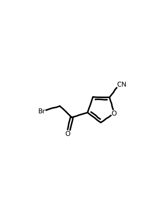 N#Cc1cc(C(=O)CBr)co1